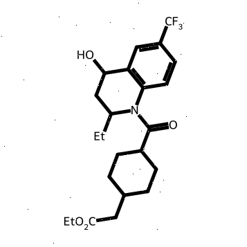 CCOC(=O)CC1CCC(C(=O)N2c3ccc(C(F)(F)F)cc3C(O)CC2CC)CC1